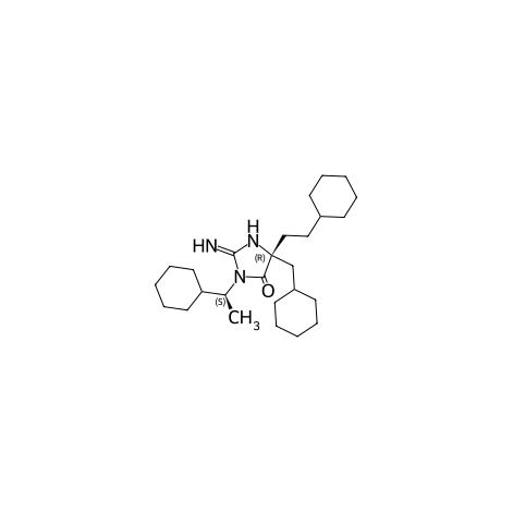 C[C@@H](C1CCCCC1)N1C(=N)N[C@](CCC2CCCCC2)(CC2CCCCC2)C1=O